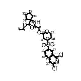 CCOC(=O)C1(NCCOC2CC(S(=O)(=O)c3ccc4cc(Cl)nc(Cl)c4c3)CCO2)CCCC1